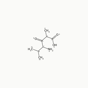 CC(C(=O)O)C(=O)C(N)C(C)C